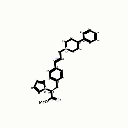 COC(=O)[C@H](Cc1ccc(/C=C/CN2CCC(c3ccccc3)CC2)cc1)n1cccc1